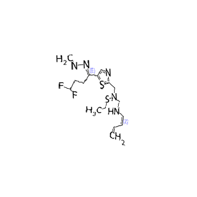 C=C/C=C\NCN(Cc1ncc(/C(CCC(F)F)=N/N=C)s1)SCC